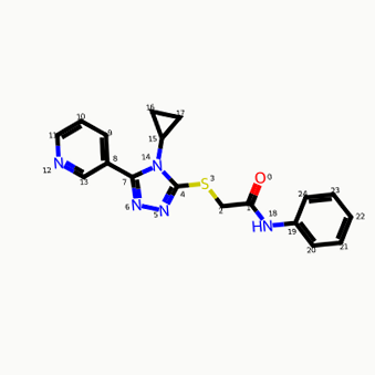 O=C(CSc1nnc(-c2cccnc2)n1C1CC1)Nc1ccccc1